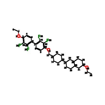 CCOc1ccc(-c2ccc(OCC3CCC(C4CCC5CC(OCC)CCC5C4)CC3)c(F)c2F)c(F)c1F